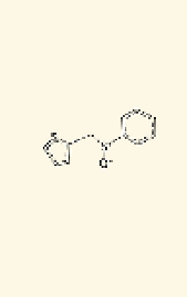 [O-][S@+](Cc1cccs1)c1ccccc1